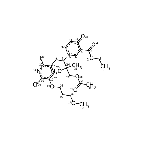 CCOC(=O)c1cn(C(Cc2cc(OCCCOC)c(Cl)nc2I)C(C)(C)COC(C)=O)ccc1=O